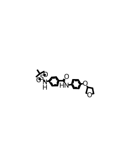 CC(C)(C)S(=O)(=O)Nc1ccc(C(=O)Nc2ccc(OC3CCOC3)cc2)cc1